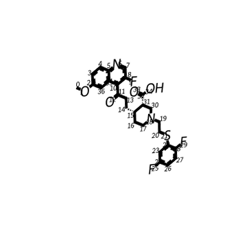 COc1ccc2ncc(F)c(C(=O)CC[C@H]3CCN(CCSc4cc(F)ccc4F)C[C@H]3C(=O)O)c2c1